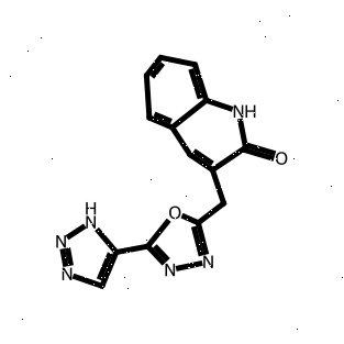 O=c1[nH]c2ccccc2cc1Cc1nnc(-c2cnn[nH]2)o1